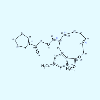 Cc1cc(C)c2c(c1)CC(=N\OCC(=O)N1CCCCC1)/C=C/CC/C=C/COC2=O